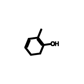 CC1=C(O)CCC=C1